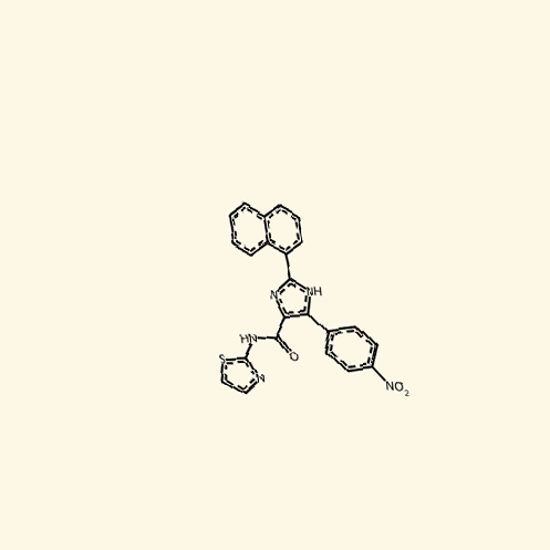 O=C(Nc1nccs1)c1nc(-c2cccc3ccccc23)[nH]c1-c1ccc([N+](=O)[O-])cc1